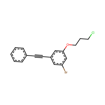 ClCCCOc1cc(Br)cc(C#Cc2ccccc2)c1